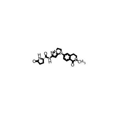 CN1CCc2cc(N3CCn4nc(NC(=O)[C@@H]5CCC(=O)N5)cc43)ccc2C1=O